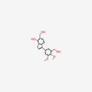 COc1cc(C2=CCc3c2ccc(CO)c3O)cc(CO)c1OC